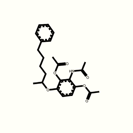 CC(=O)Nc1c(OC(C)=O)ccc(OC(C)CCCCc2ccccc2)c1OC(C)=O